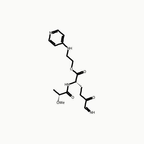 CO[C@H](C)C(=O)N[C@@H](CCC(=O)C=N)C(=O)OCCNc1ccncc1